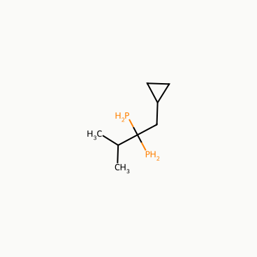 CC(C)C(P)(P)CC1CC1